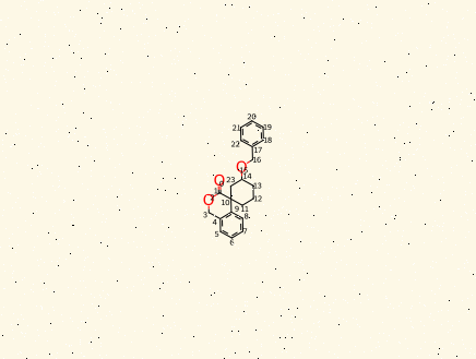 O=C1OCc2ccccc2C12CCCC(OCc1ccccc1)C2